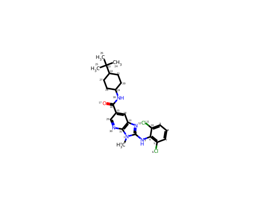 Cn1c(Nc2c(Cl)cccc2Cl)nc2cc(C(=O)NC3CCC(C(C)(C)C)CC3)cnc21